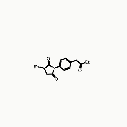 CCC(=O)Cc1ccc(N2C(=O)CC(C(C)C)C2=O)cc1